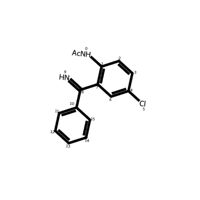 CC(=O)Nc1ccc(Cl)cc1C(=N)c1ccccc1